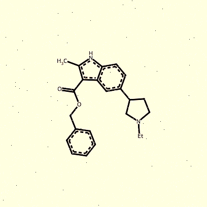 CCN1CCC(c2ccc3[nH]c(C)c(C(=O)OCc4ccccc4)c3c2)C1